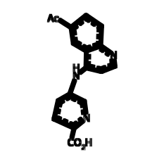 CC(=O)c1ccc2nccc(Nc3ccc(C(=O)O)nc3)c2c1